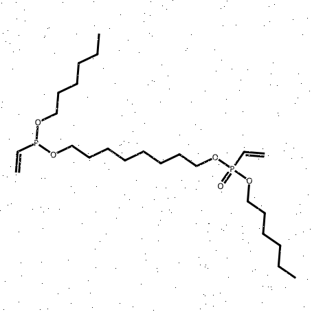 C=CP(OCCCCCC)OCCCCCCCCOP(=O)(C=C)OCCCCCC